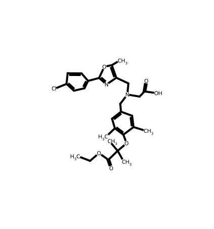 CCOC(=O)C(C)(C)Oc1c(C)cc(CN(CC(=O)O)Cc2nc(-c3ccc(Cl)cc3)oc2C)cc1C